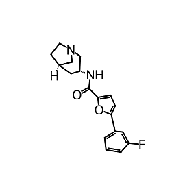 O=C(N[C@@H]1C[C@H]2CCN(C2)C1)c1ccc(-c2cccc(F)c2)o1